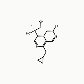 C[C@](O)(CO)c1cnc(OC2CC2)c2cnc(Cl)cc12